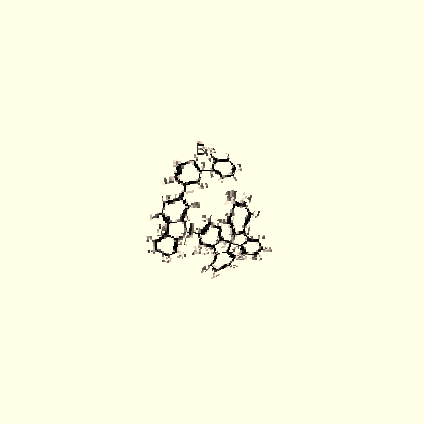 Brc1ccccc1-c1cccc(-c2ccc3c4ccccc4n(-c4ccc5c(c4)-c4ccccc4C54c5ccccc5-c5ccccc54)c3c2)c1